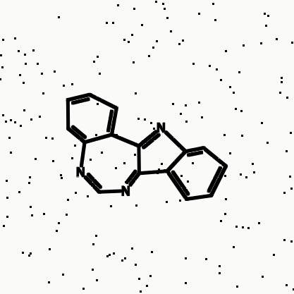 c1ccc2c3nc4ccccc4c-3ncnc2c1